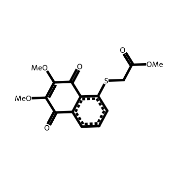 COC(=O)CSc1cccc2c1C(=O)C(OC)=C(OC)C2=O